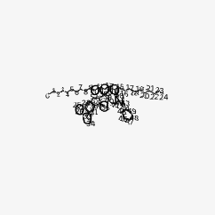 CCCCCCCCCCOCOCOCCCCCCCCCC.COc1cc2c(cc1OC)C(=O)C(CC1CCN(Cc3ccccc3)CC1)C2